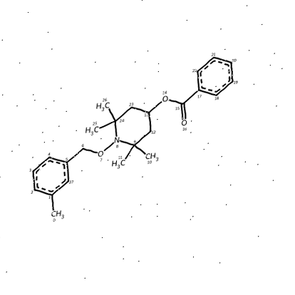 Cc1cccc(CON2C(C)(C)CC(OC(=O)c3ccccc3)CC2(C)C)c1